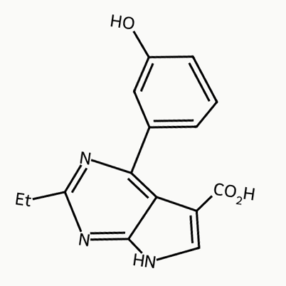 CCc1nc(-c2cccc(O)c2)c2c(C(=O)O)c[nH]c2n1